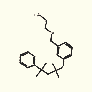 CC(C)(CC(C)(C)c1ccccc1)Oc1cccc(CNCCN)c1